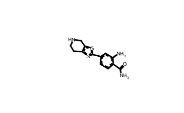 NC(=O)c1ccc(-c2nc3c(s2)CNCC3)cc1N